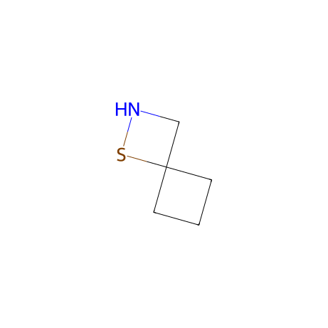 C1CC2(C1)CNS2